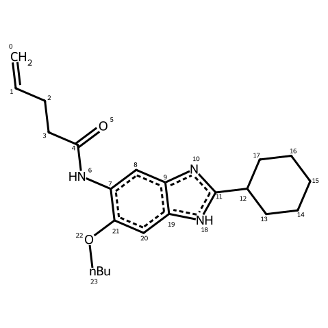 C=CCCC(=O)Nc1cc2nc(C3CCCCC3)[nH]c2cc1OCCCC